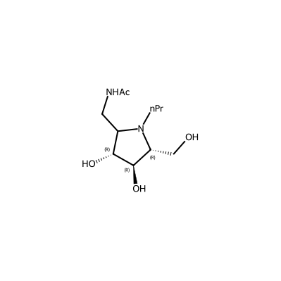 CCCN1C(CNC(C)=O)[C@@H](O)[C@H](O)[C@H]1CO